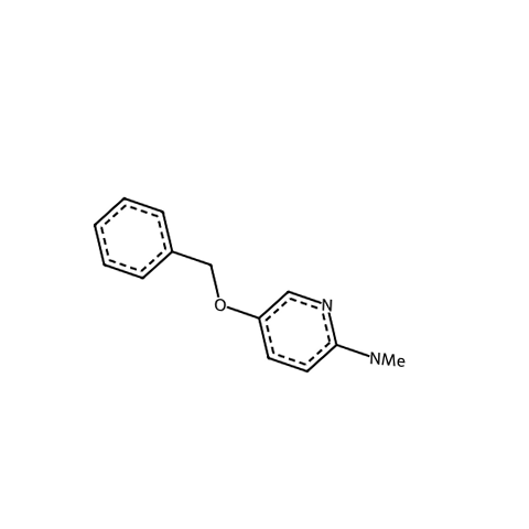 CNc1ccc(OCc2ccccc2)cn1